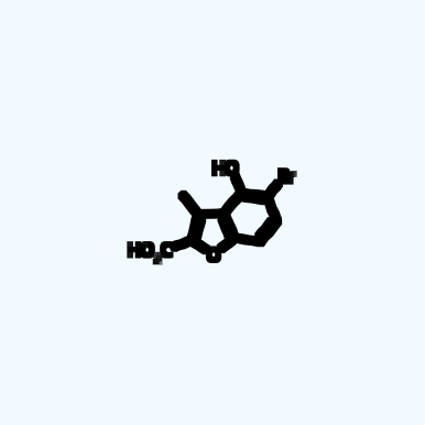 Cc1c(C(=O)O)oc2ccc(Br)c(O)c12